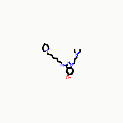 CCN(CC)CCCn1nc(NCCCCCCN2CCCCC2)c2cc(O)ccc21